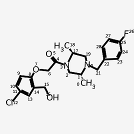 C[C@@H]1CN(C(=O)COc2ccc(Cl)cc2CO)[C@@H](C)CN1Cc1ccc(F)cc1